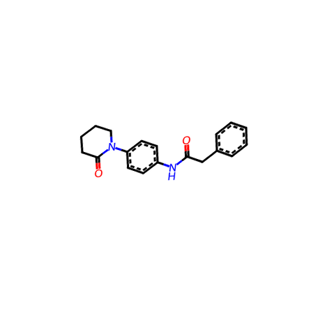 O=C(Cc1ccccc1)Nc1ccc(N2CCCCC2=O)cc1